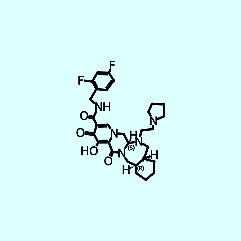 O=C(NCc1ccc(F)cc1F)c1cn2c(c(O)c1=O)C(=O)N1C[C@@H]3CCCC[C@H]3CN(CCN3CCCC3)[C@@H]1C2